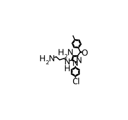 Cc1ccc(C(=O)c2nn(-c3ccc(Cl)cc3)c(NCCCN)c2N)cc1